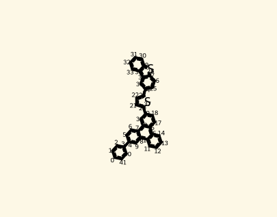 c1ccc(-c2ccc3c(c2)c2ccccc2c2ccc(-c4ccc(-c5ccc6sc7ccccc7c6c5)s4)cc23)cc1